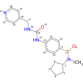 CN(C1CCCC1)[S+]([O-])c1ccc(NC(=O)NCc2ccncc2)cc1